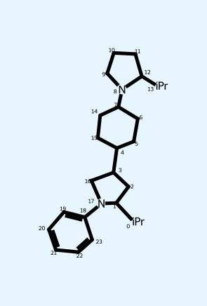 CC(C)C1CC(C2CCC(N3CCCC3C(C)C)CC2)CN1c1ccccc1